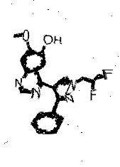 COc1cc2ncnc(-c3cn(CC(F)F)nc3-c3ccccc3)c2cc1O